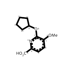 COc1ccc(C(=O)O)nc1OC1CCCC1